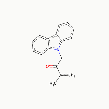 C=C(C)C(=O)Cn1c2ccccc2c2ccccc21